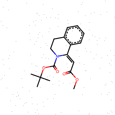 COC(=O)/C=C1/c2ccccc2CCN1C(=O)OC(C)(C)C